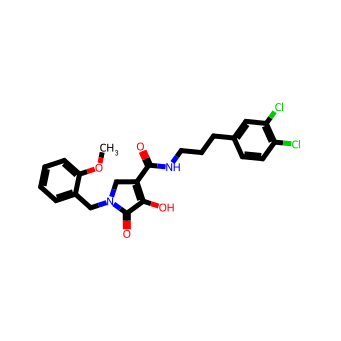 COc1ccccc1CN1CC(C(=O)NCCCc2ccc(Cl)c(Cl)c2)=C(O)C1=O